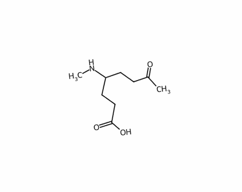 CNC(CCC(C)=O)CCC(=O)O